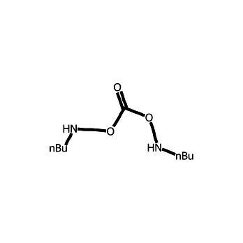 CCCCNOC(=O)ONCCCC